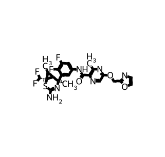 Cc1nc(OCc2ncco2)cnc1C(=O)Nc1cc(F)c(F)c([C@@]2(C)N=C(N)S[C@@]3(C(F)F)C(C)C32)c1